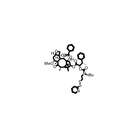 CCCCN(CCSSc1ccccn1)C(=O)O[C@@H](C(=O)OC1C[C@@]2(O)[C@@H](OC(=O)c3ccccc3)[C@@H]3[C@]4(OC(C)=O)CO[C@@H]4C[C@H](OC)[C@@]3(C)C(=O)[C@H](C)C(=C1C)C2(C)C)[C@@H](C)c1ccccc1